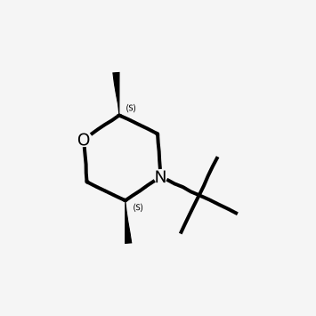 C[C@H]1CN(C(C)(C)C)[C@@H](C)CO1